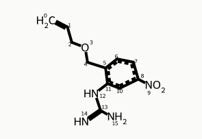 C=CCOCc1ccc([N+](=O)[O-])cc1NC(=N)N